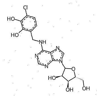 OC[C@H]1OC(n2cnc3c(NCc4ccc(Cl)c(O)c4O)ncnc32)[C@H](O)[C@@H]1O